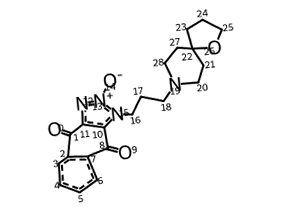 O=C1c2ccccc2C(=O)c2c1n[n+]([O-])n2CCCN1CCC2(CCCO2)CC1